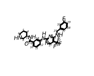 O=C(N[C@@H]1CCCNC1)c1cccc(Nc2ncc(C(F)(F)F)c(NCc3cccc(F)c3)n2)c1